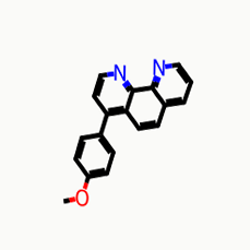 COc1ccc(-c2ccnc3c2ccc2cccnc23)cc1